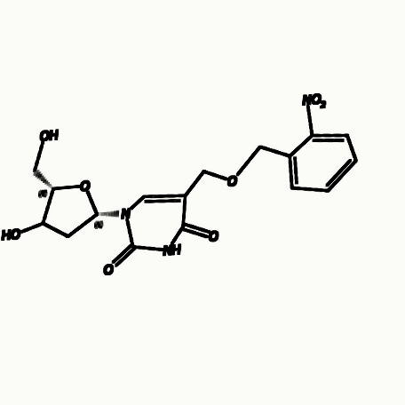 O=c1[nH]c(=O)n([C@@H]2CC(O)[C@H](CO)O2)cc1COCc1ccccc1[N+](=O)[O-]